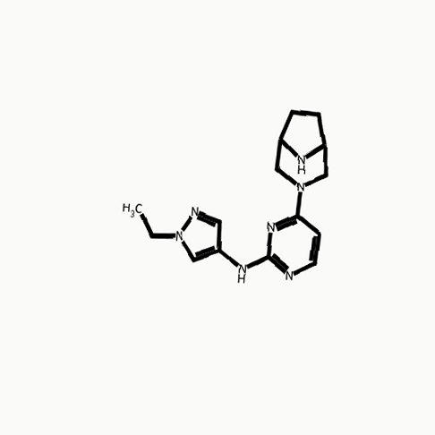 CCn1cc(Nc2nccc(N3CC4CCC(C3)N4)n2)cn1